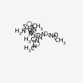 C=CC(=O)N1CC2(CCN(c3cc(-c4noc([C@@]5(C)CCCc6sc(N)c(C#N)c65)n4)nc(N4CCCN(C)C[C@@H]4C)n3)C2)C1